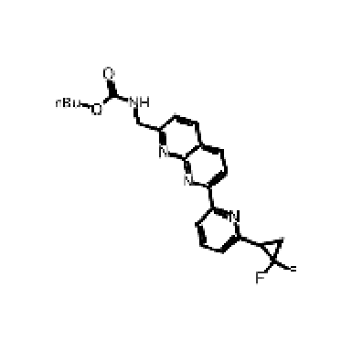 CCCCOC(=O)NCc1ccc2ccc(-c3cccc(C4CC4(F)F)n3)nc2n1